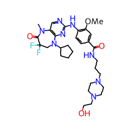 COc1cc(C(=O)NCCCN2CCN(CCO)CC2)ccc1Nc1ncc2c(n1)N(C1CCCC1)CC(F)(F)C(=O)N2C